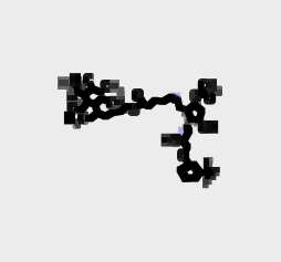 CCC(C)C(CC)C(CC)C(CC)C(CC)CCCCOC(=O)CCC/C=C\C[C@@H]1[C@@H](/C=C/[C@@H](O)COc2cccc(C(F)(F)F)c2)[C@H](O)C[C@@H]1OC(C)=O